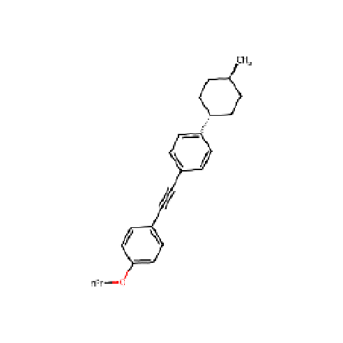 CCCOc1ccc(C#Cc2ccc([C@H]3CC[C@H](C)CC3)cc2)cc1